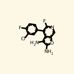 Nc1oc2cnc(F)c(-c3ccc(F)c(Cl)c3)c2c1N